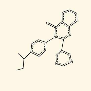 CCC(C)c1ccc(-n2c(-c3cncnc3)nc3ccccc3c2=O)cc1